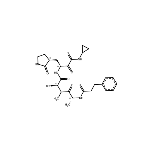 CCC[C@@H](C(=O)N[C@@H](C[C@@H]1CCNC1=O)C(=O)C(=O)NC1CC1)N(C)C(=O)[C@@H](C)NC(=O)CCc1ccccc1